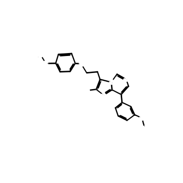 CCOc1cccc(-c2cncn3c(CCOc4ccc(OC(F)(F)F)cc4)c(C(=O)O)nc23)c1